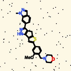 COc1cc(-c2cc3c(s2)Cc2c(-c4ccc5cnn(C)c5c4)n[nH]c2-3)ccc1CN1CCOCC1